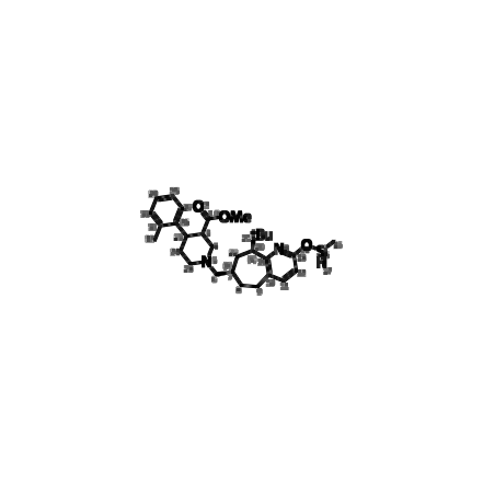 COC(=O)C1CN(C[C@@H]2CCc3ccc(O[SiH](C)C)nc3[C@H](C(C)(C)C)C2)CCC1c1ccccc1C